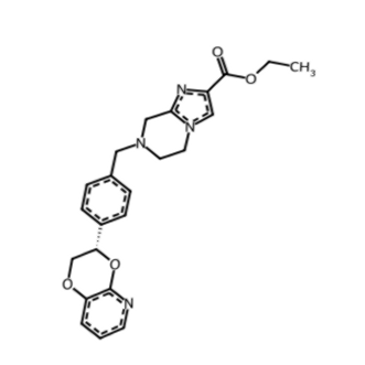 CCOC(=O)c1cn2c(n1)CN(Cc1ccc([C@H]3COc4cccnc4O3)cc1)CC2